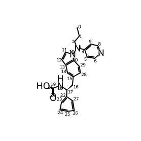 CCCN(c1ccncc1)n1ccc2cc(C[C@H](NC(=O)O)c3ccccc3)ccc21